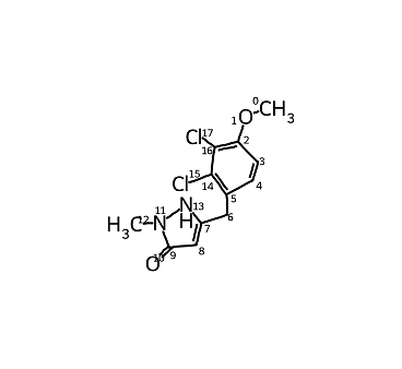 COc1ccc(Cc2cc(=O)n(C)[nH]2)c(Cl)c1Cl